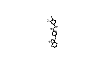 O=C(Nc1ccc(Cc2c[nH]c3ncccc23)cn1)c1ccc(F)c(Cl)c1